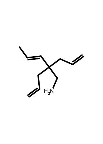 C=CCC(C=CC)(CN)CC=C